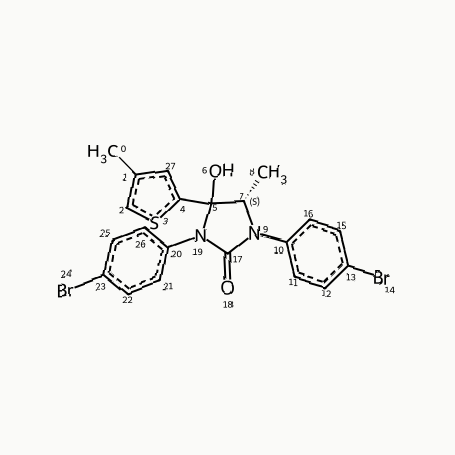 Cc1csc(C2(O)[C@H](C)N(c3ccc(Br)cc3)C(=O)N2c2ccc(Br)cc2)c1